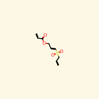 C=CCS(=O)(=O)C=CCOC(=O)C=C